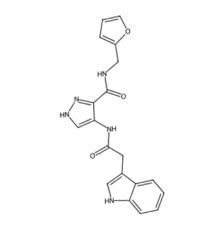 O=C(Cc1c[nH]c2ccccc12)Nc1c[nH]nc1C(=O)NCc1ccco1